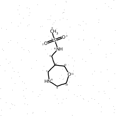 CS(=O)(=O)NCC1CNCCOC1